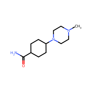 CN1CCN(C2CCC(C(N)=O)CC2)CC1